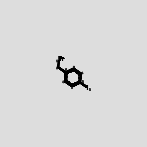 C[C](C)Cc1ccc(I)cc1